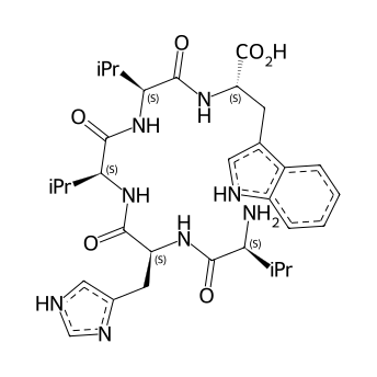 CC(C)[C@H](N)C(=O)N[C@@H](Cc1c[nH]cn1)C(=O)N[C@H](C(=O)N[C@H](C(=O)N[C@@H](Cc1c[nH]c2ccccc12)C(=O)O)C(C)C)C(C)C